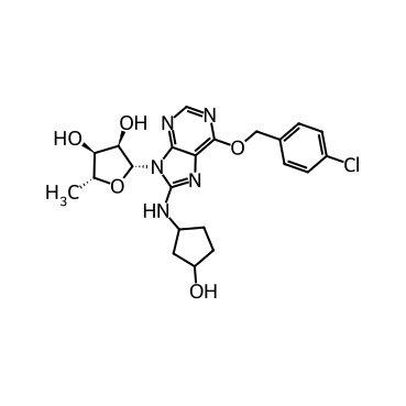 C[C@H]1O[C@@H](n2c(NC3CCC(O)C3)nc3c(OCc4ccc(Cl)cc4)ncnc32)[C@H](O)[C@@H]1O